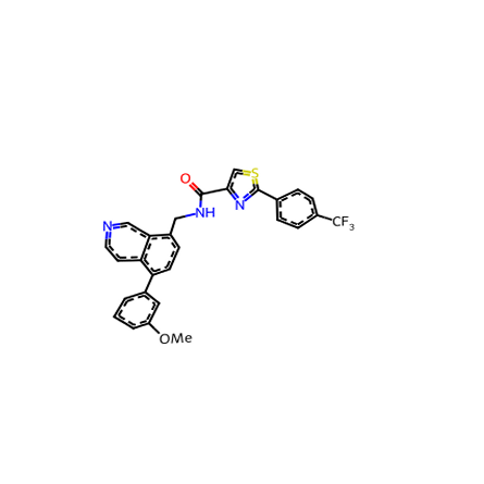 COc1cccc(-c2ccc(CNC(=O)c3csc(-c4ccc(C(F)(F)F)cc4)n3)c3cnccc23)c1